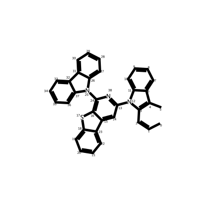 C/C=C\c1c(C)c2ccccc2n1-c1cc2c(sc3ccccc32)c(-n2c3ccccc3c3ccccc32)n1